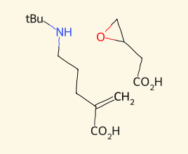 C=C(CCCNC(C)(C)C)C(=O)O.O=C(O)CC1CO1